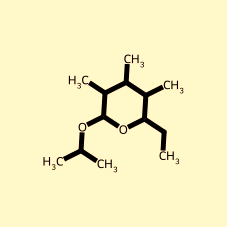 CCC1OC(OC(C)C)C(C)C(C)C1C